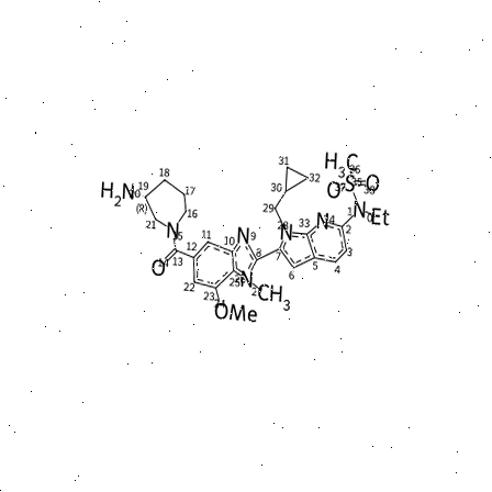 CCN(c1ccc2cc(-c3nc4cc(C(=O)N5CCC[C@@H](N)C5)cc(OC)c4n3C)n(CC3CC3)c2n1)S(C)(=O)=O